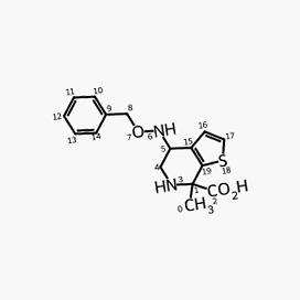 CC1(C(=O)O)NCC(NOCc2ccccc2)c2ccsc21